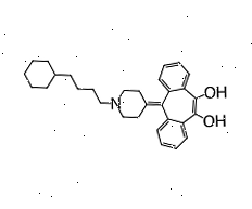 OC1=C(O)c2ccccc2C(=C2CCN(CCCCC3CCCCC3)CC2)c2ccccc21